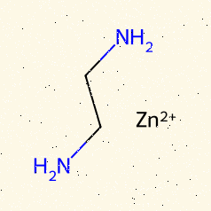 NCCN.[Zn+2]